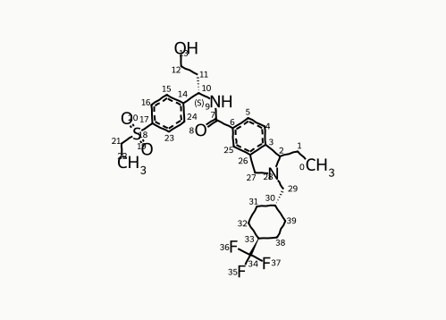 CCC1c2ccc(C(=O)N[C@@H](CCO)c3ccc(S(=O)(=O)CC)cc3)cc2CN1C[C@H]1CC[C@H](C(F)(F)F)CC1